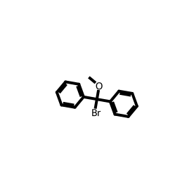 COC(Br)(c1ccccc1)c1ccccc1